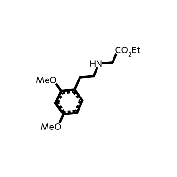 CCOC(=O)CNCCc1ccc(OC)cc1OC